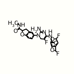 CNC(=O)C1Cc2cc(N3CC(F)=C(Nc4cc5c6c(c4OC5F)OC6F)N=C3N)ccc2O1